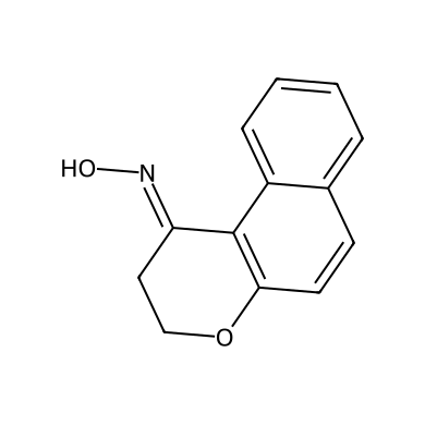 O/N=C1\CCOc2ccc3ccccc3c21